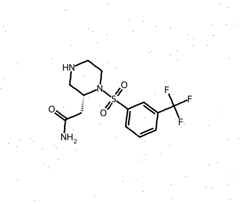 NC(=O)C[C@@H]1CNCCN1S(=O)(=O)c1cccc(C(F)(F)F)c1